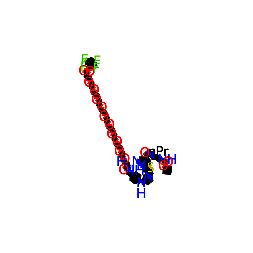 CCCN(CCCNC(=O)OC1CCC1)C(=O)C1=Cc2sc(CN3CCC(Nc4ccc(CNC(=O)CCOCCOCCOCCOCCOCCOCCOCCOCCOCCOCCC(=O)Oc5c(F)c(F)cc(F)c5F)cc4)C3)cc2N=C(N)C1